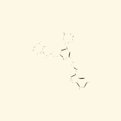 C(=NOc1cc(N2CCOCC2)cc(OCCN2CCOCC2)n1)c1c[nH]c2ccccc12